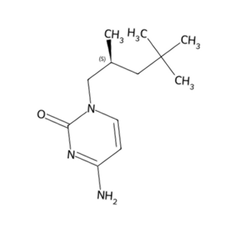 C[C@H](Cn1ccc(N)nc1=O)CC(C)(C)C